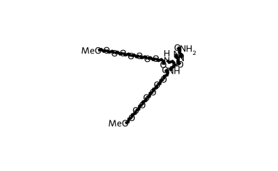 COCCOCCOCCOCCOCCOCCOCCOCCC(=O)NCCN(CCNC(=O)CCOCCOCCOCCOCCOCCOCCOCCOC)C(=O)c1cnc(C(N)=O)cn1